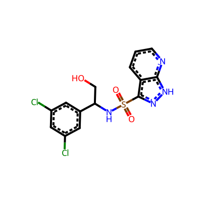 O=S(=O)(NC(CO)c1cc(Cl)cc(Cl)c1)c1n[nH]c2ncccc12